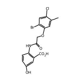 Cc1cc(OCC(=O)Nc2ccc(O)cc2C(=O)O)c(Br)cc1Cl